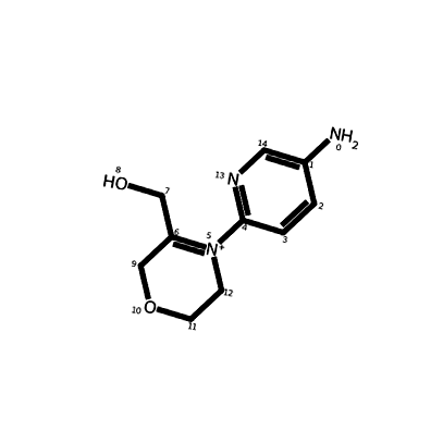 Nc1ccc([N+]2=C(CO)COCC2)nc1